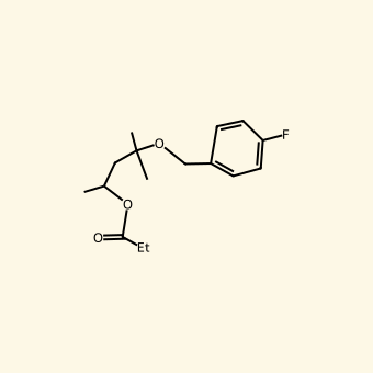 CCC(=O)OC(C)CC(C)(C)OCc1ccc(F)cc1